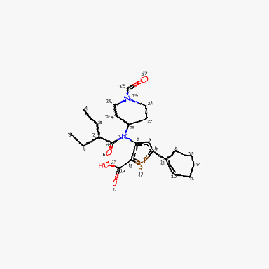 CCC(CC)C(=O)N(c1cc(C2=CCCCC2)sc1C(=O)O)C1CCN(C=O)CC1